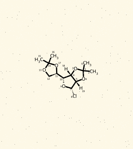 CC1(C)O[C@@H]2[C@H](O1)[C@H](Cl)O[C@@H]2[C@H]1COC(C)(C)O1